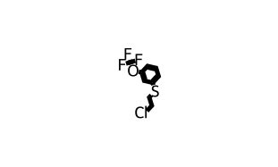 FC(F)(F)Oc1cccc(SCCCl)c1